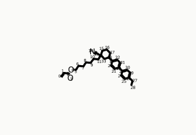 C=CC(=O)OCCCCCCCC1(C#N)CCCC(c2ccc(-c3ccc(CC)cc3)cc2)C1